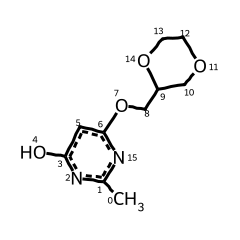 Cc1nc(O)cc(OCC2COCCO2)n1